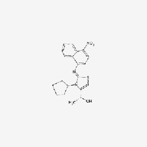 C[C@@H](O)c1csc(=Nc2ccc([N+](=O)[O-])c3ccccc23)n1C1CCCC1